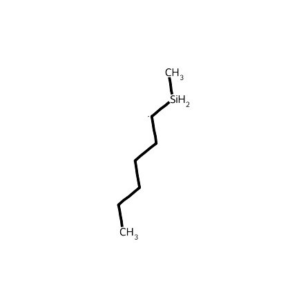 CCCCC[CH][SiH2]C